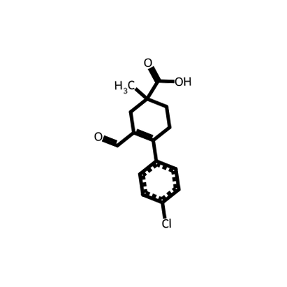 CC1(C(=O)O)CCC(c2ccc(Cl)cc2)=C(C=O)C1